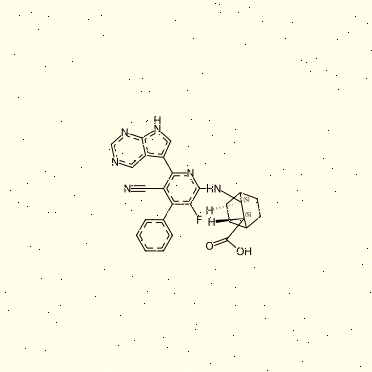 N#Cc1c(-c2c[nH]c3ncncc23)nc(N[C@H]2C3CCC(CC3)[C@@H]2C(=O)O)c(F)c1-c1ccccc1